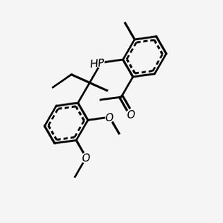 CCC(C)(Pc1c(C)cccc1C(C)=O)c1cccc(OC)c1OC